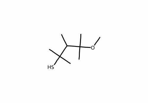 COC(C)(C)C(C)C(C)(C)S